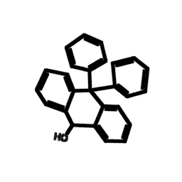 OC1c2ccccc2C(c2ccccc2)(c2ccccc2)c2ccccc21